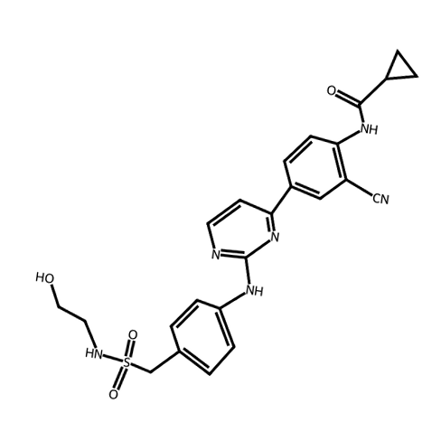 N#Cc1cc(-c2ccnc(Nc3ccc(CS(=O)(=O)NCCO)cc3)n2)ccc1NC(=O)C1CC1